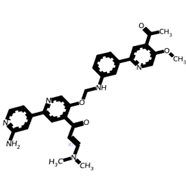 COc1cnc(-c2cccc(NCOc3cnc(-c4ccnc(N)c4)cc3C(=O)/C=C/N(C)C)c2)cc1C(C)=O